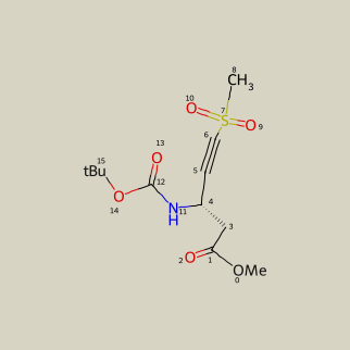 COC(=O)C[C@@H](C#CS(C)(=O)=O)NC(=O)OC(C)(C)C